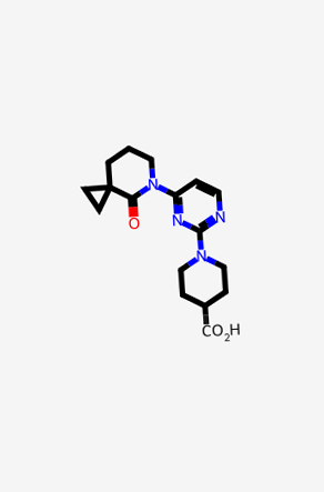 O=C(O)C1CCN(c2nccc(N3CCCC4(CC4)C3=O)n2)CC1